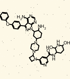 Nc1ncnc2c1c(-c1ccc(Oc3ccccc3)cc1)nn2C1CC(N2CCN(C3CCN3c3cncc(C(=O)NC4CCC(O)NC4O)c3)CC2)CCC1N